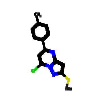 CCCCSc1cc2nc(-c3ccc(C)cc3)cc(Cl)n2n1